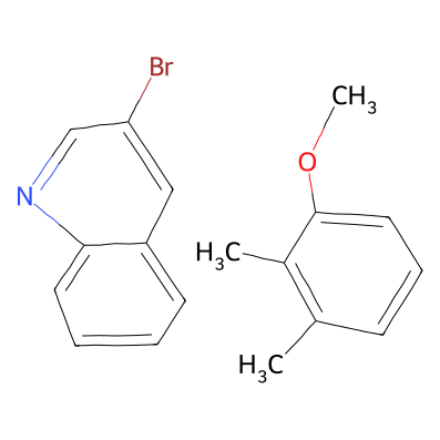 Brc1cnc2ccccc2c1.COc1cccc(C)c1C